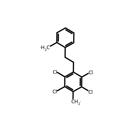 [CH2]c1ccccc1CCc1c(Cl)c(Cl)c([CH2])c(Cl)c1Cl